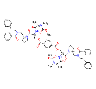 C[C@@H](C(=O)N[C@@H](COC(=O)c1ccc(C(=O)OC[C@H](NC(=O)[C@H](C)N(C)C(=O)OC(C)(C)C)C(=O)N2CCC[C@H]2CN(CCc2ccccc2)C(=O)c2ccccc2)cc1)C(=O)N1CCC[C@H]1CN(CCc1ccccc1)C(=O)c1ccccc1)N(C)C(=O)OC(C)(C)C